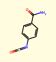 NC(=O)c1ccc(N=C=O)cc1